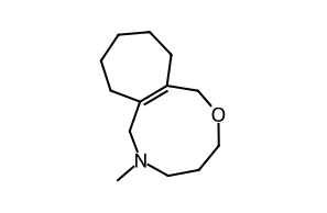 CN1CCCOCC2=C(CCCCC2)C1